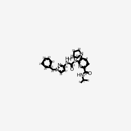 CC(C)NC(=O)c1ccc2c(n1)N(C(=O)Nc1ccn(Cc3ccccc3)n1)[C@H]1CCN2C1